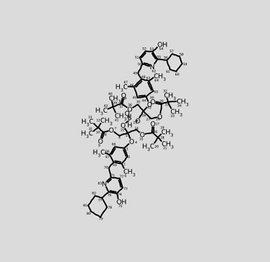 Cc1cc(OC(COC(=O)C(C)(C)C)(COC(=O)C(C)(C)C)O[PH](=O)OC(COC(=O)C(C)(C)C)(COC(=O)C(C)(C)C)Oc2cc(C)c(Cc3ccc(O)c(C4CCCCC4)n3)c(C)c2)cc(C)c1Cc1ccc(O)c(C2CCCCC2)n1